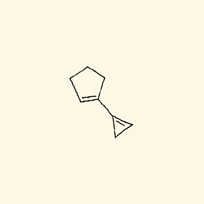 C1=C(C2=CCCC2)C1